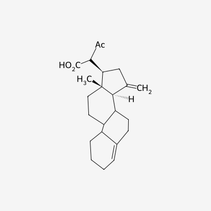 C=C1C[C@H](C(C(C)=O)C(=O)O)[C@@]2(C)CCC3C4CCCC=C4CCC3[C@H]12